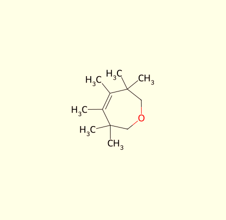 CC1=C(C)C(C)(C)COCC1(C)C